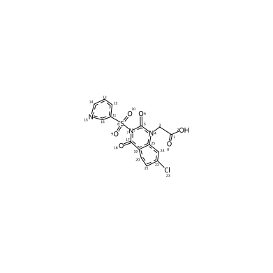 O=C(O)Cn1c(=O)n(S(=O)(=O)c2cccnc2)c(=O)c2ccc(Cl)cc21